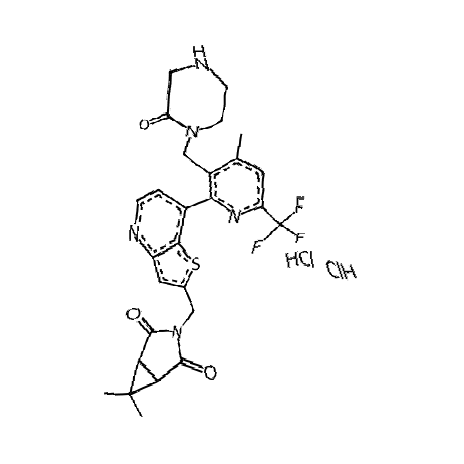 Cc1cc(C(F)(F)F)nc(-c2ccnc3cc(CN4C(=O)C5C(C4=O)C5(C)C)sc23)c1CN1CCNCC1=O.Cl.Cl